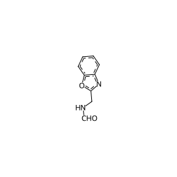 O=CNCc1nc2ccccc2o1